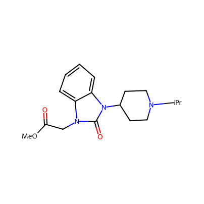 COC(=O)Cn1c(=O)n(C2CCN(C(C)C)CC2)c2ccccc21